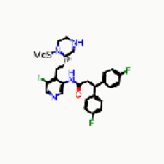 CSN1CCNC[C@@H]1CCc1c(F)cncc1NC(=O)CC(c1ccc(F)cc1)c1ccc(F)cc1